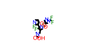 CN(Cc1cn(S(=O)(=O)c2cnn(C(F)F)c2)c(-c2cccnc2F)c1F)C(=O)O